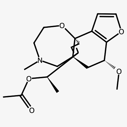 CO[C@@H]1C[C@@]23CN(C)CCO[C@@]2(CC=C3[C@@H](C)OC(C)=O)c2ccoc21